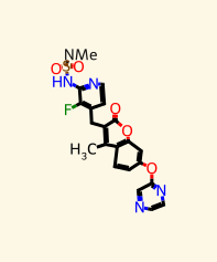 CNS(=O)(=O)Nc1nccc(Cc2c(C)c3ccc(Oc4cnccn4)cc3oc2=O)c1F